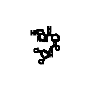 O=C(CNc1cc(Cl)cc(Cl)c1)N1CCC[C@H](Nc2ncnc3[nH]ccc23)C1